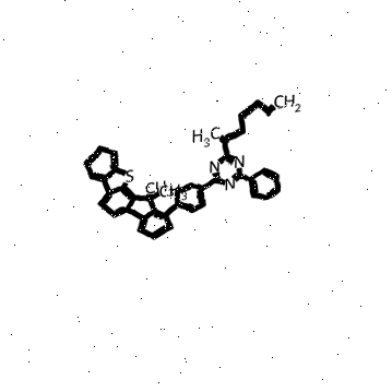 C=C/C=C\C=C(/C)c1nc(-c2ccccc2)nc(-c2ccc(-c3cccc4c3C(C)(C)c3c-4ccc4c3sc3ccccc34)cc2)n1